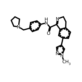 Cn1cc(-c2ccc3c(c2)C(C(=O)Nc2ccc(CN4CCCC4)cc2)=NCC3)cn1